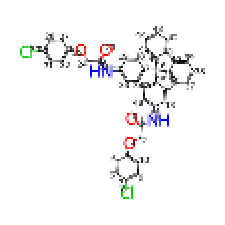 O=C(COc1ccc(Cl)cc1)Nc1ccc(C2(c3ccc(NC(=O)COc4ccc(Cl)cc4)cc3)c3ccccc3-c3ccccc32)cc1